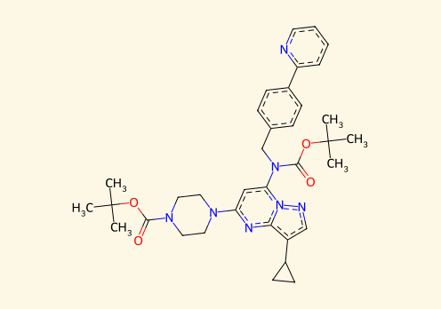 CC(C)(C)OC(=O)N1CCN(c2cc(N(Cc3ccc(-c4ccccn4)cc3)C(=O)OC(C)(C)C)n3ncc(C4CC4)c3n2)CC1